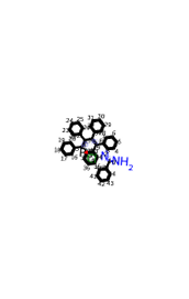 N/C(=N\c1ccccc1/C(=C(/C(=[C](\[Pd][Cl])c1ccccc1)c1ccccc1)c1ccccc1)c1ccccc1)c1ccccc1